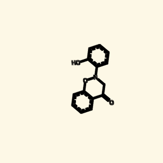 O=C1CN(c2ccccc2O)Oc2ccccc21